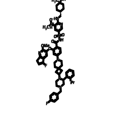 COc1nc2c(cc1Oc1cc(N3CCC4(CC3)CC(N3CCN(Cc5ccc(F)cc5)CC3c3ccccc3C(C)C)C4)ccc1C(=O)NS(=O)(=O)c1cnc(NC[C@H]3CC[C@](C)(O)CC3)c([NH+](C)[O-])c1)C(F)=CC2